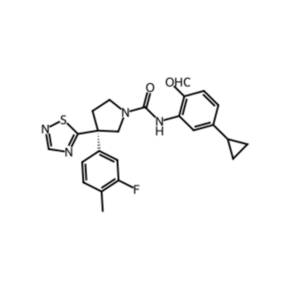 Cc1ccc([C@]2(c3ncns3)CCN(C(=O)Nc3cc(C4CC4)ccc3C=O)C2)cc1F